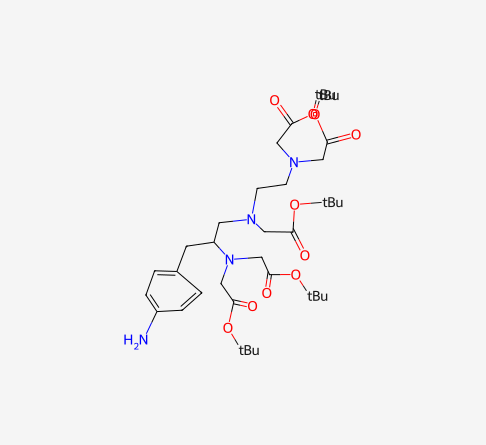 CC(C)(C)OC(=O)CN(CCN(CC(=O)OC(C)(C)C)CC(Cc1ccc(N)cc1)N(CC(=O)OC(C)(C)C)CC(=O)OC(C)(C)C)CC(=O)OC(C)(C)C